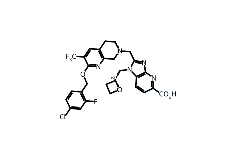 O=C(O)c1ccc2c(n1)nc(CN1CCc3cc(C(F)(F)F)c(OCc4ccc(Cl)cc4F)nc3C1)n2C[C@@H]1CCO1